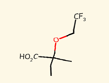 CC(C)(OCC(F)(F)F)C(=O)O